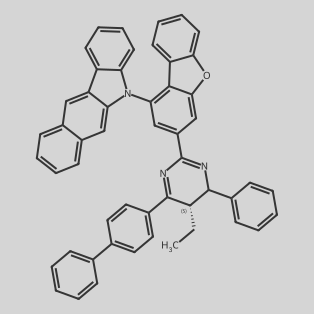 CC[C@@H]1C(c2ccc(-c3ccccc3)cc2)=NC(c2cc(-n3c4ccccc4c4cc5ccccc5cc43)c3c(c2)oc2ccccc23)=NC1c1ccccc1